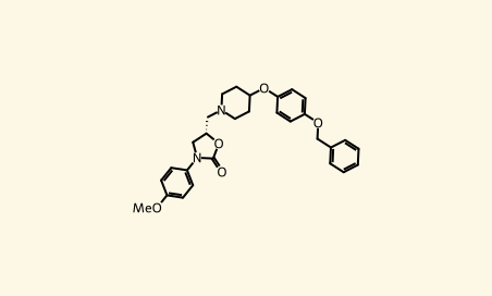 COc1ccc(N2C[C@H](CN3CCC(Oc4ccc(OCc5ccccc5)cc4)CC3)OC2=O)cc1